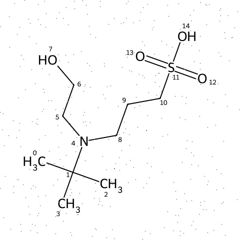 CC(C)(C)N(CCO)CCCS(=O)(=O)O